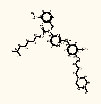 COc1cccc(CN(C(=O)OCCCCCC(C)C)c2ccnc(Nc3ccc(OCCCN4CCN(C)CC4)c(F)c3)n2)c1